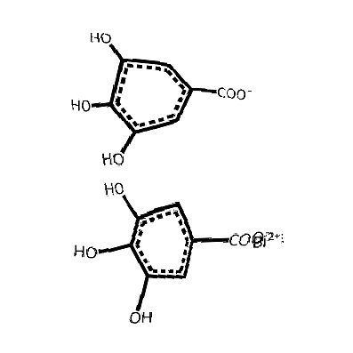 O=C([O-])c1cc(O)c(O)c(O)c1.O=C([O-])c1cc(O)c(O)c(O)c1.[Bi+2]